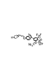 COc1cc(-c2cnc3cc(OCCCN4CCNCC4)ccn23)cc(OC(F)F)c1C(=O)NC1CC1